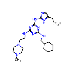 CN1CCN(CCNc2nc(NCC3CCCCC3)nc(Nc3ncc(CC(=O)O)[nH]3)n2)CC1